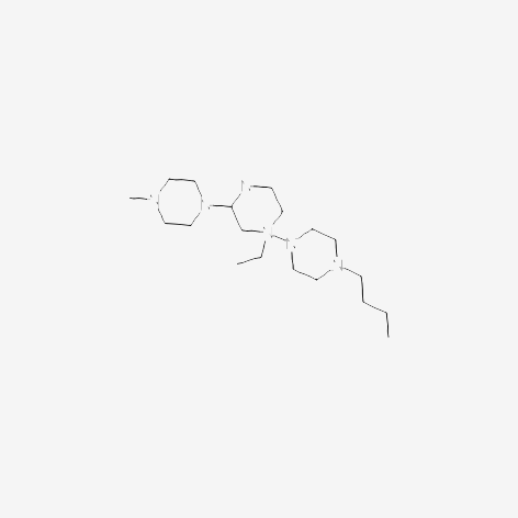 CCCCN1CCN([N+]2(CC)CC[N]C(N3CCN(C)CC3)C2)CC1